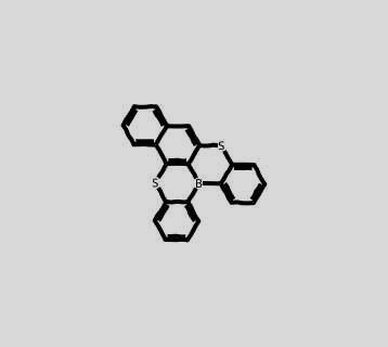 c1ccc2c(c1)Sc1cc3ccccc3c3c1B2c1ccccc1S3